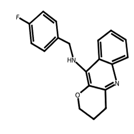 Fc1ccc(CNc2c3c(nc4ccccc24)CCCO3)cc1